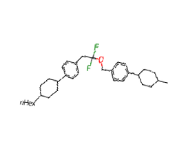 CCCCCCC1CCC(c2ccc(CC(F)(F)OCc3ccc(C4CCC(C)CC4)cc3)cc2)CC1